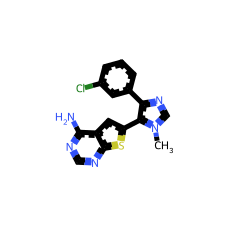 Cn1cnc(-c2cccc(Cl)c2)c1-c1cc2c(N)ncnc2s1